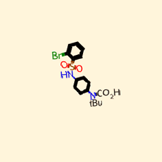 CC(C)(C)N(C(=O)O)[C@H]1CC[C@@H](NS(=O)(=O)c2ccccc2Br)CC1